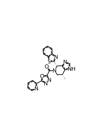 C[C@@H]1CN(C(=O)c2nnc(-c3ccccn3)o2)[C@H](c2nc3ccccc3s2)c2nc[nH]c21